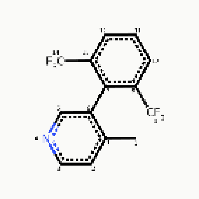 Cc1ccncc1-c1c(C(F)(F)F)cccc1C(F)(F)F